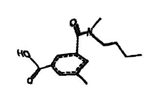 CCCCN(C)C(=O)c1cc(C)cc(C(=O)O)c1